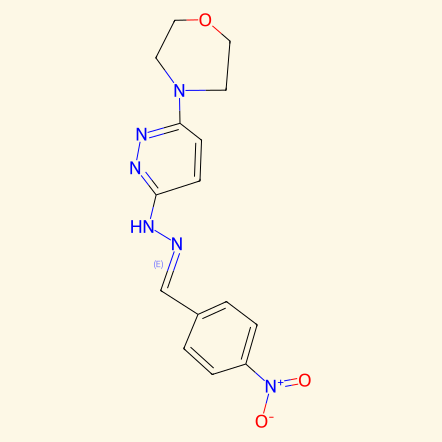 O=[N+]([O-])c1ccc(/C=N/Nc2ccc(N3CCOCC3)nn2)cc1